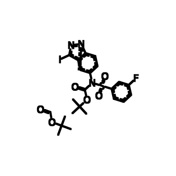 CC(C)(C)OC(=O)N(c1ccc2c3c(I)nn2c13)S(=O)(=O)c1cccc(F)c1.CC(C)(C)OC=O